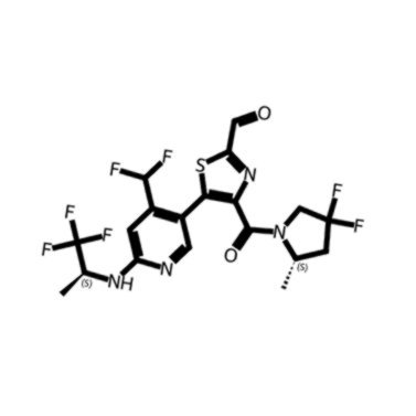 C[C@H](Nc1cc(C(F)F)c(-c2sc(C=O)nc2C(=O)N2CC(F)(F)C[C@@H]2C)cn1)C(F)(F)F